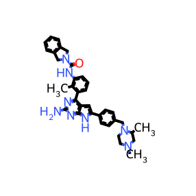 Cc1c(NC(=O)N2Cc3ccccc3C2)cccc1-c1nc(N)nc2[nH]c(-c3ccc(CN4CCN(C)CC4C)cc3)cc12